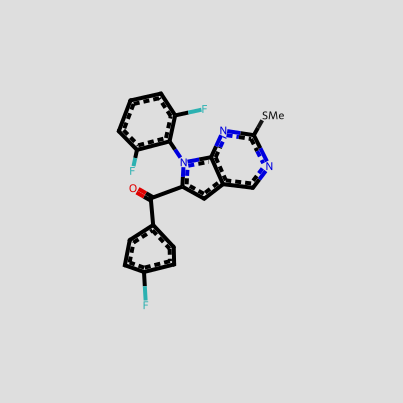 CSc1ncc2cc(C(=O)c3ccc(F)cc3)n(-c3c(F)cccc3F)c2n1